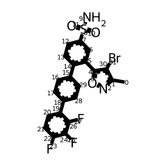 Cc1noc(-c2cc(S(N)(=O)=O)ccc2-c2ccc(-c3ccc(F)c(F)c3F)cc2)c1Br